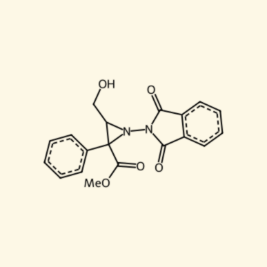 COC(=O)C1(c2ccccc2)C(CO)N1N1C(=O)c2ccccc2C1=O